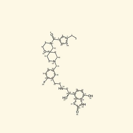 CCc1cc(C(=O)N2CCOC3(CCN(Cc4ccc(F)c(CCNC[C@H](O)c5ccc(O)c6[nH]c(=O)sc56)c4)CC3)C2)cs1